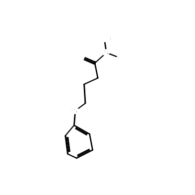 CN(C)C(=O)CCCNc1cc[c]cc1